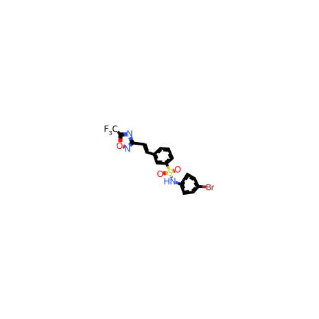 O=S(=O)(Nc1ccc(Br)cc1)c1cccc(/C=C/c2noc(C(F)(F)F)n2)c1